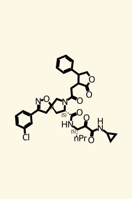 CCC[C@H](NC(=O)[C@@H]1C[C@]2(CC(c3cccc(Cl)c3)=NO2)CN1C(=O)CC1C(=O)OCC1c1ccccc1)C(=O)C(=O)NC1CC1